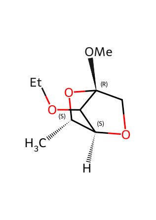 CCOC1[C@H]2OC[C@@]1(OC)O[C@H]2C